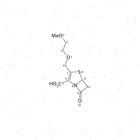 COCCOCC1=C(C(=O)O)N2C(=O)CC2S1